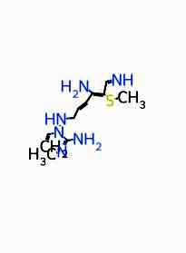 C=CN(NC/C=C/C(N)=C(/C=N)SC)/C(N)=N\C